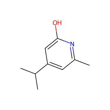 Cc1cc(C(C)C)cc(O)n1